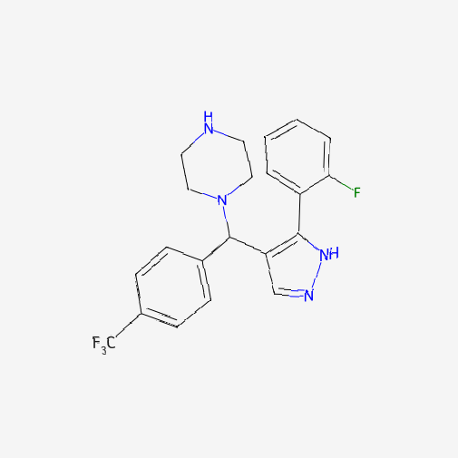 Fc1ccccc1-c1[nH]ncc1C(c1ccc(C(F)(F)F)cc1)N1CCNCC1